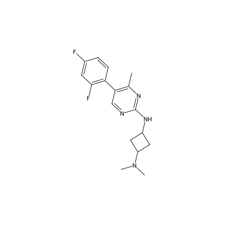 Cc1nc(NC2CC(N(C)C)C2)ncc1-c1ccc(F)cc1F